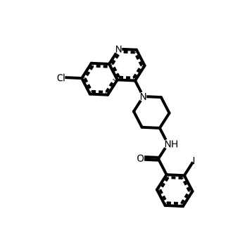 O=C(NC1CCN(c2ccnc3cc(Cl)ccc23)CC1)c1ccccc1I